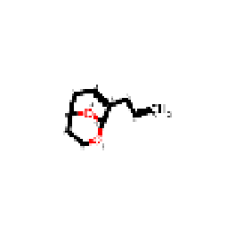 C=CCC1=CCC2CCOC1O2